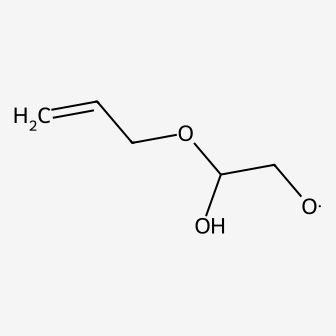 C=CCOC(O)C[O]